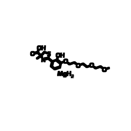 COCCOCCOCCOc1cccc(C2=NC(C)(C(=O)O)CS2)c1O.[MgH2]